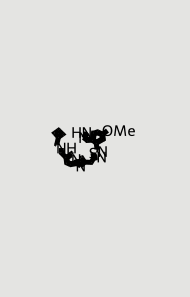 COc1cc(-c2nnc(Cc3cn4cc(CNCC5CCC5)ccc4n3)s2)c2cn[nH]c2c1